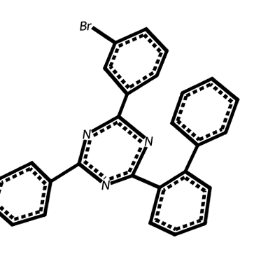 Brc1cccc(-c2nc(-c3ccccc3)nc(-c3ccccc3-c3ccccc3)n2)c1